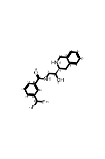 O=C(NCC(O)[C@@H]1Cc2ccccc2CN1)c1cccc(C(F)F)c1